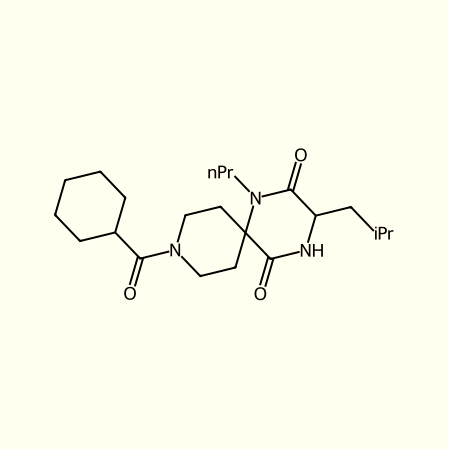 CCCN1C(=O)C(CC(C)C)NC(=O)C12CCN(C(=O)C1CCCCC1)CC2